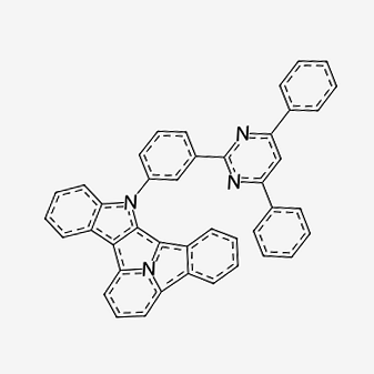 c1ccc(-c2cc(-c3ccccc3)nc(-c3cccc(-n4c5ccccc5c5c4c4c6ccccc6c6cccc5n64)c3)n2)cc1